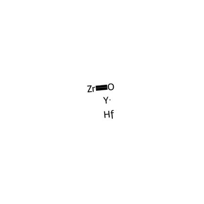 [Hf].[O]=[Zr].[Y]